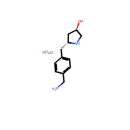 Cl.Cl.NCc1ccc(C[C@@H]2C[C@@H](O)CN2)cc1